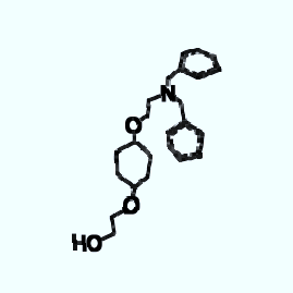 OCCOC1CCC(OCCN(Cc2ccccc2)Cc2ccccc2)CC1